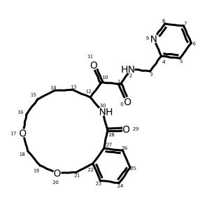 O=C(NCc1ccccn1)C(=O)C1CCCCOCCOCc2ccccc2C(=O)N1